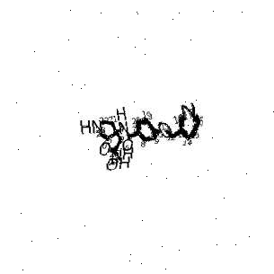 O=C(CC1(NC(=O)c2ccc(OCc3cccnc3)cc2)CCNCC1)NO